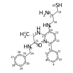 C[C@H](Nc1nc(-c2ccccc2)ccc1NCC(N)CS)C(=O)NCc1ccccc1